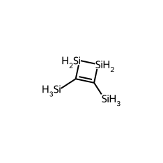 [SiH3]C1=C([SiH3])[SiH2][SiH2]1